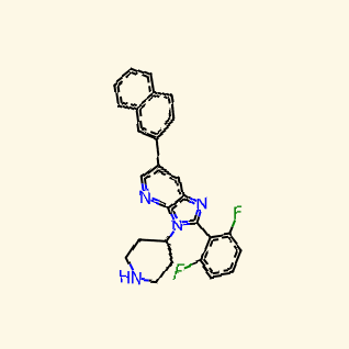 Fc1cccc(F)c1-c1nc2cc(-c3ccc4ccccc4c3)cnc2n1C1CCNCC1